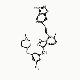 Cc1ccc2c(Nc3cc(CN4CCN(C)CC4)cc(C(F)(F)F)c3)noc2c1C#Cc1cc2cn[nH]c2cn1